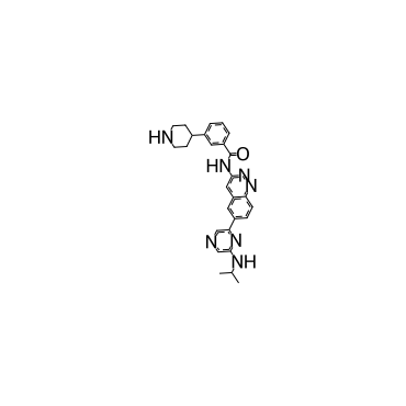 CC(C)Nc1cncc(-c2ccc3nnc(NC(=O)c4cccc(C5CCNCC5)c4)cc3c2)n1